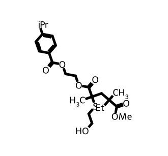 CCC(C)(CC(C)(SCCO)C(=O)OCCOC(=O)c1ccc(C(C)C)cc1)C(=O)OC